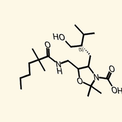 CCCCC(C)(C)C(=O)NCC1OC(C)(C)N(C(=O)O)C1C[C@H](CO)C(C)C